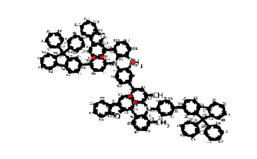 Cc1cc(-c2ccc(N(c3ccc(-c4ccc5c(c4)C(c4ccccc4)(c4ccccc4)c4ccccc4-5)cc3)c3c(C)cccc3-c3cccc4c3oc3ccccc34)c(C)c2)ccc1N(c1ccc(-c2ccc3c(c2)C(c2ccccc2)(c2ccccc2)c2ccccc2-3)cc1)c1c(C)cccc1-c1cccc2c1oc1ccccc12